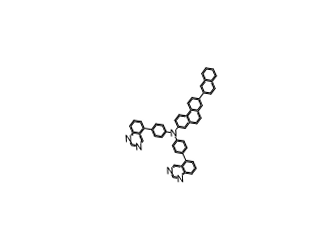 c1ccc2cc(-c3ccc4c(ccc5cc(N(c6ccc(-c7cccc8ncncc78)cc6)c6ccc(-c7cccc8ncncc78)cc6)ccc54)c3)ccc2c1